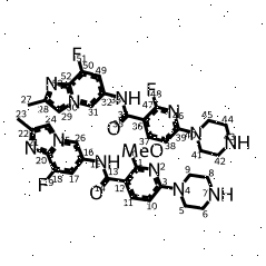 COc1nc(N2CCNCC2)ccc1C(=O)Nc1cc(F)c2nc(C)cn2c1.Cc1cn2cc(NC(=O)c3ccc(N4CCNCC4)nc3F)cc(F)c2n1